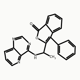 CC(Nc1ncnc2cccnc12)c1oc(=O)c2ccccc2c1-c1ccccc1